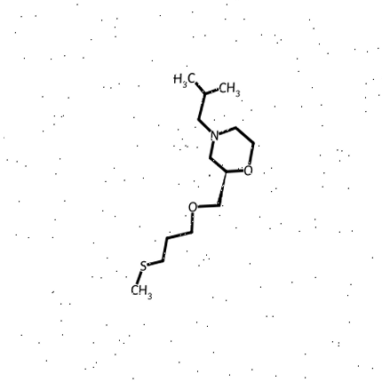 CSCCCOC[C@H]1CN(CC(C)C)CCO1